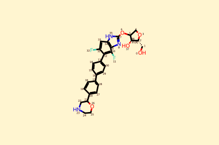 OC[C@H]1OCC(Oc2nc3c(F)c(-c4ccc(-c5ccc(C6CNCCO6)cc5)cc4)c(F)cc3[nH]2)[C@@H]1O